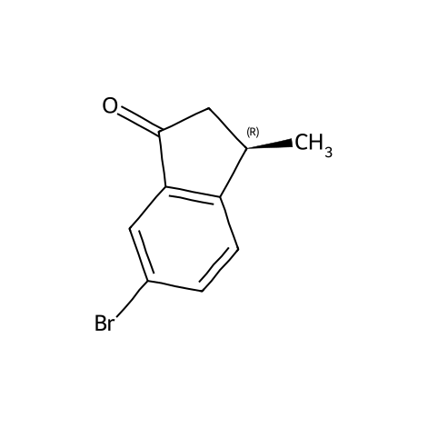 C[C@@H]1CC(=O)c2cc(Br)ccc21